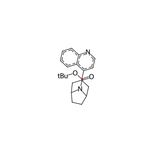 CC(C)(C)OC(=O)N1C2CCC1CC(c1ccnc3ccccc13)C2